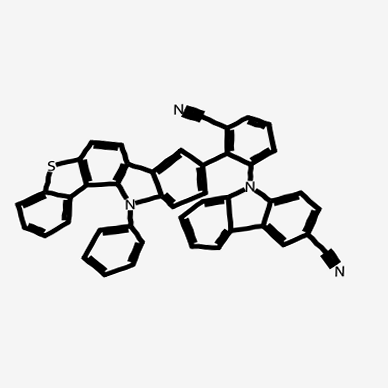 N#Cc1ccc2c(c1)c1ccccc1n2-c1cccc(C#N)c1-c1ccc2c(c1)c1ccc3sc4ccccc4c3c1n2-c1ccccc1